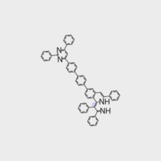 N=C(/C(=C1\NC(c2ccccc2)=Cc2cc(-c3ccc(-c4ccc(-c5cc(-c6ccccc6)nc(-c6ccccc6)n5)cc4)cc3)ccc21)c1ccccc1)c1ccccc1